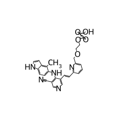 Cc1c(Nc2c(C#N)cncc2C=Cc2cccc(COCCOS(=O)(=O)O)n2)ccc2[nH]ccc12